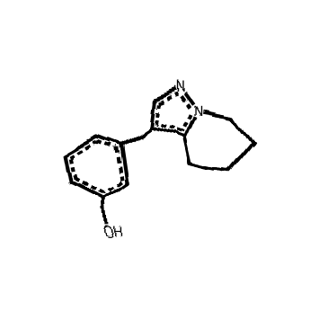 Oc1cccc(-c2cnn3c2CCCC3)c1